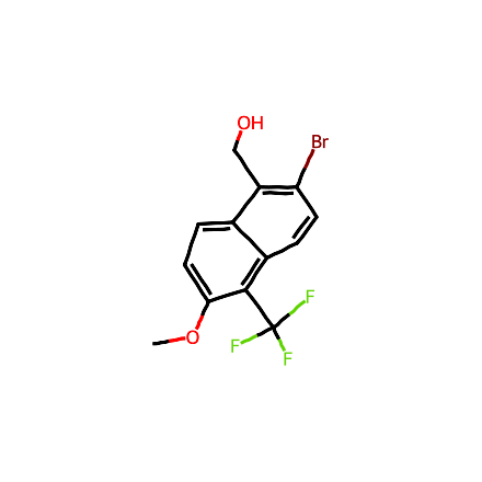 COc1ccc2c(CO)c(Br)ccc2c1C(F)(F)F